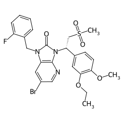 CCOc1cc([C@@H](CS(C)(=O)=O)n2c(=O)n(Cc3ccccc3F)c3cc(Br)cnc32)ccc1OC